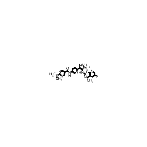 C[C@@H](OCNc1c(-c2ccc(NC(=O)c3cnc(N(C)C)nc3)cn2)nnn1C)c1cc(F)cnc1F